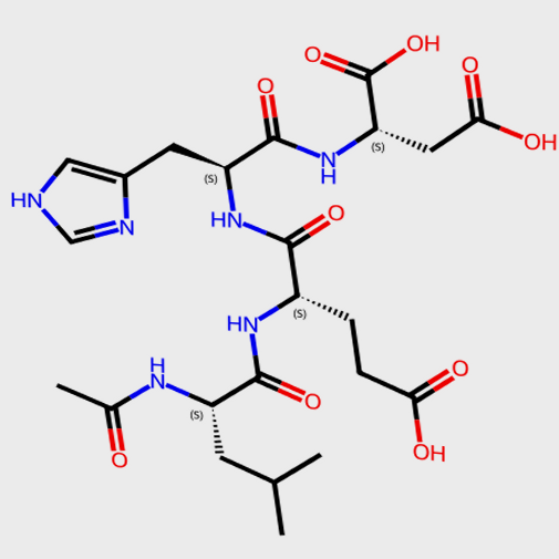 CC(=O)N[C@@H](CC(C)C)C(=O)N[C@@H](CCC(=O)O)C(=O)N[C@@H](Cc1c[nH]cn1)C(=O)N[C@@H](CC(=O)O)C(=O)O